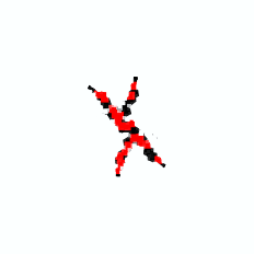 [C-]#[N+]c1c(Oc2ccc3ccc(OCC#C)cc3c2)cccc1Oc1cc2c(cc1Oc1cccc(Oc3ccc4ccc(OCC#C)cc4c3)c1[N+]#[C-])C1(CC(C)(C)c3cc(Oc4cccc(Oc5ccc6ccc(OCC#C)cc6c5)c4C#N)c(Oc4cccc(Oc5ccc6ccc(OCC#C)cc6c5)c4C#N)cc31)CC2(C)C